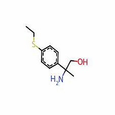 CCSc1ccc(C(C)(N)CO)cc1